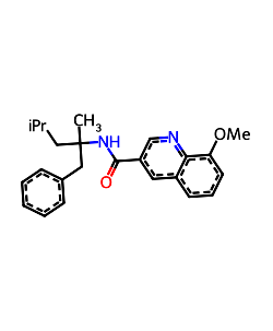 COc1cccc2cc(C(=O)NC(C)(Cc3ccccc3)CC(C)C)cnc12